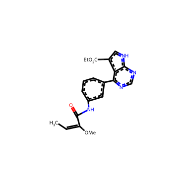 C/C=C(/OC)C(=O)Nc1cccc(-c2ncnc3[nH]cc(C(=O)OCC)c23)c1